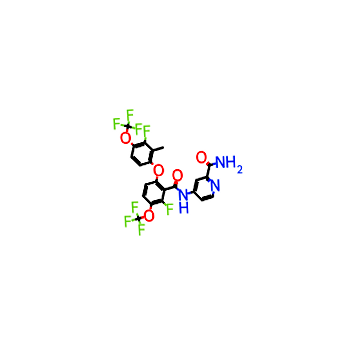 Cc1c(Oc2ccc(OC(F)(F)F)c(F)c2C(=O)Nc2ccnc(C(N)=O)c2)ccc(OC(F)(F)F)c1F